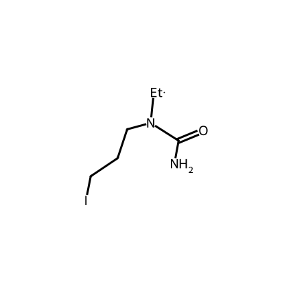 C[CH]N(CCCI)C(N)=O